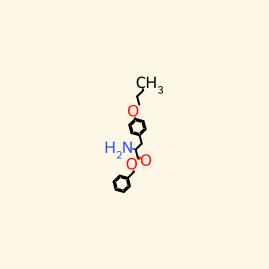 CCCCOc1ccc(C[C@H](N)C(=O)OCc2ccccc2)cc1